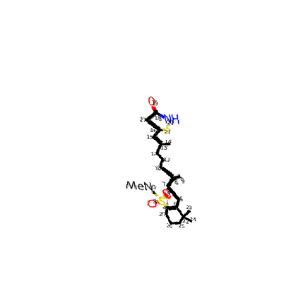 CNS(=O)(=O)C1=C(/C=C/C(C)=C/CC/C(C)=C/c2cc(=O)[nH]s2)C(C)(C)CCC1